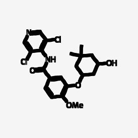 COc1ccc(C(=O)Nc2c(Cl)cncc2Cl)cc1OC1CC(O)CC(C)(C)C1